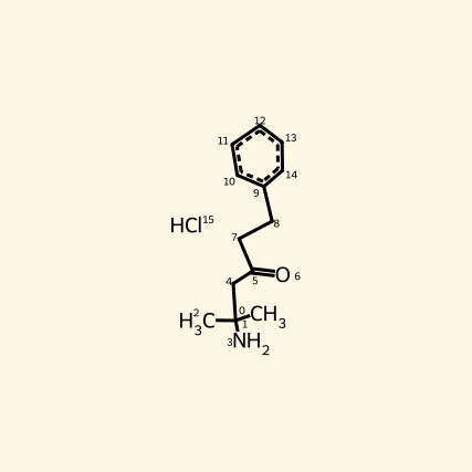 CC(C)(N)CC(=O)CCc1ccccc1.Cl